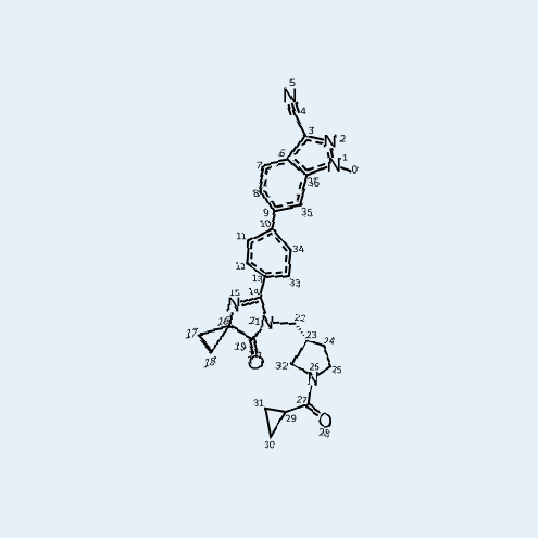 Cn1nc(C#N)c2ccc(-c3ccc(C4=NC5(CC5)C(=O)N4C[C@@H]4CCN(C(=O)C5CC5)C4)cc3)cc21